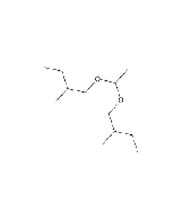 [CH2]C(OCC(C)CC)OCC(C)CC